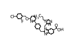 CCCn1cnnc1Cn1c(Cc2ccc(-c3cccc(OCc4ccc(Cl)cc4F)n3)cc2)nc2ccc(C(=O)O)cc21